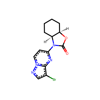 O=C1O[C@@H]2CCCC[C@@H]2N1c1ccn2ncc(Br)c2n1